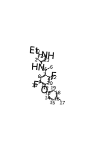 CCC1CC(NC(C)c2cc(F)c(Oc3ccc(C)cc3)cc2F)=CN1